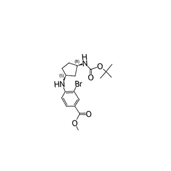 COC(=O)c1ccc(N[C@H]2CC[C@@H](NC(=O)OC(C)(C)C)C2)c(Br)c1